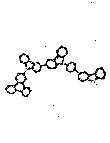 c1ccc2c(c1)oc1ccc(-c3ccc(-n4c5ccccc5c5cc(-c6ccc7c(c6)c6ccccc6n7-c6ccc7c8ccccc8c8ccccc8c7c6)ccc54)cc3)cc12